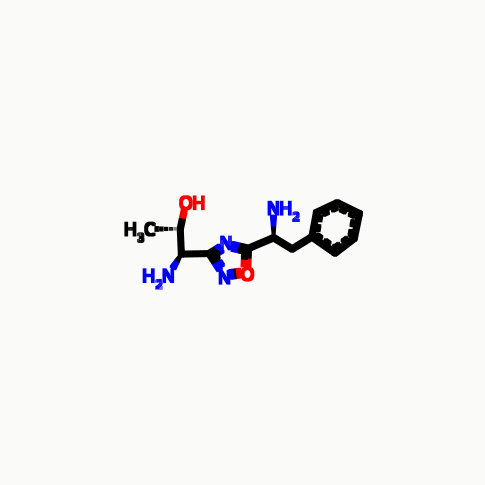 C[C@H](O)[C@H](N)c1noc([C@@H](N)Cc2ccccc2)n1